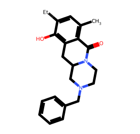 CCc1cc(C)c2c(c1O)CC1CN(Cc3ccccc3)CCN1C2=O